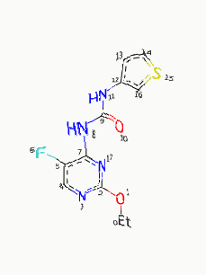 CCOc1ncc(F)c(NC(=O)Nc2ccsc2)n1